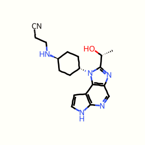 C[C@@H](O)c1nc2cnc3[nH]ccc3c2n1[C@H]1CC[C@H](NCCC#N)CC1